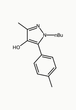 CCCCn1nc(C)c(O)c1-c1ccc(C)cc1